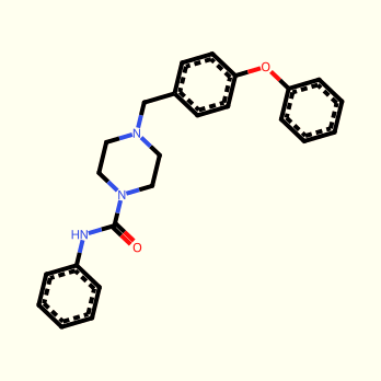 O=C(Nc1ccccc1)N1CCN(Cc2ccc(Oc3ccccc3)cc2)CC1